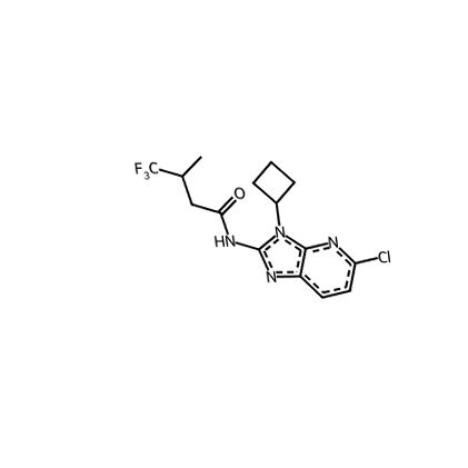 CC(CC(=O)Nc1nc2ccc(Cl)nc2n1C1CCC1)C(F)(F)F